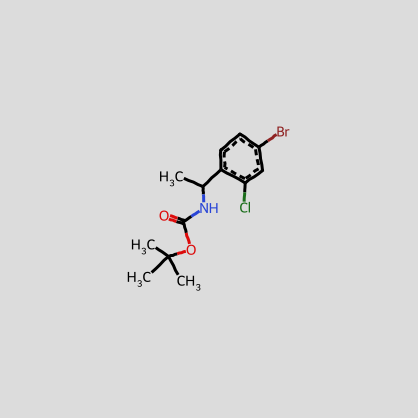 CC(NC(=O)OC(C)(C)C)c1ccc(Br)cc1Cl